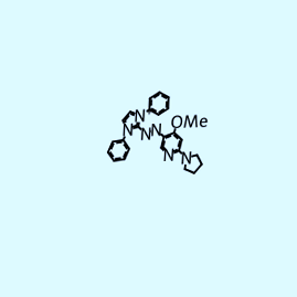 COc1cc(N2CCCC2)ncc1/N=N/c1n(-c2ccccc2)cc[n+]1-c1ccccc1